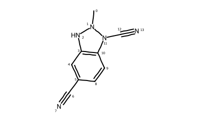 CN1Nc2cc(C#N)ccc2N1C#N